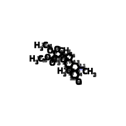 C/C=C1/CC2C3CCC([C@H](C)CC(C(=O)OCC)C(=O)OCC)[C@@]3(C)CCC2[C@@]2(C)CCC(=O)C=C12